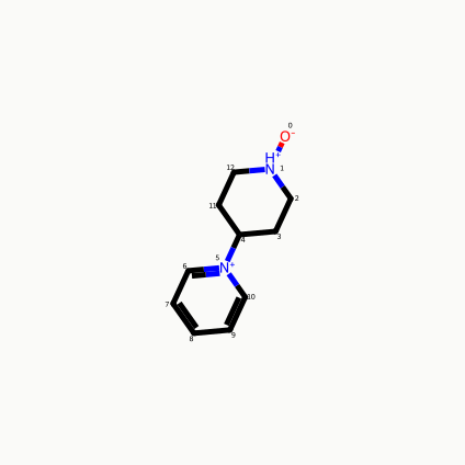 [O-][NH+]1CCC([n+]2ccccc2)CC1